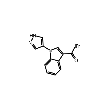 CC(C)C(=O)c1cn(-c2cn[nH]c2)c2ccccc12